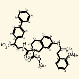 COc1ccccc1C[C@H](C)Oc1ccc2c(c1)C[N+](C(=O)NCC(C(=O)O)c1ccc(-c3ccccc3)cc1)(C(=O)OC(C)(C)C)CC2